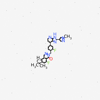 Cn1cc(-c2nc3c(-c4ccc(Cn5ncc6cc(C(C)(C)C)cc(F)c6c5=O)c(F)c4)ccnc3[nH]2)cn1